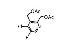 CC(=O)OCc1ncc(F)c(Cl)c1COC(C)=O